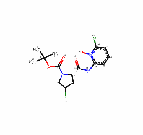 CC(C)(C)OC(=O)N1C[C@H](F)C[C@H]1C(=O)Nc1cccc(Br)[n+]1[O-]